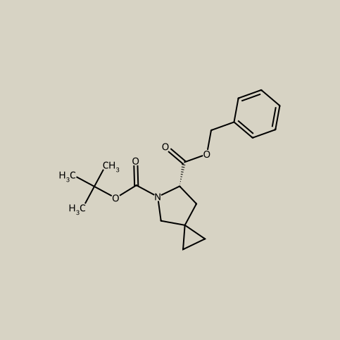 CC(C)(C)OC(=O)N1CC2(CC2)C[C@H]1C(=O)OCc1ccccc1